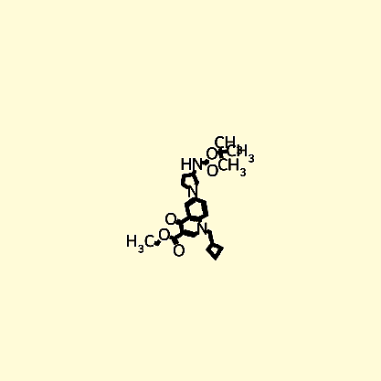 CCOC(=O)c1cn(CC2CCC2)c2ccc(N3CCC(NC(=O)OC(C)(C)C)C3)cc2c1=O